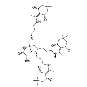 CC(NCCCOCC(COCCCNC(C)=C1C(=O)CC(C)(C)CC1=O)(COCCCNC(C)=C1C(=O)CC(C)(C)CC1=O)NC(=O)OC(C)(C)C)=C1C(=O)CC(C)(C)CC1=O